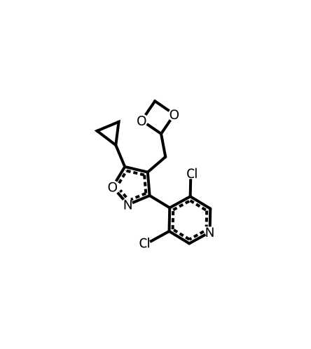 Clc1cncc(Cl)c1-c1noc(C2CC2)c1CC1OCO1